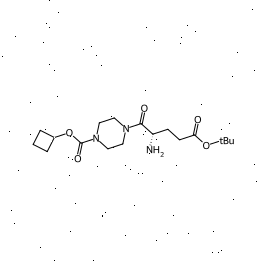 CC(C)(C)OC(=O)CC[C@H](N)C(=O)N1CCN(C(=O)OC2CCC2)CC1